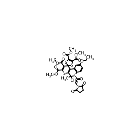 CCOc1ccc2c(c1)C1=C(SC(C(=O)OC)=C(C(=O)OC)C13SC(C(=O)OC)=C(C(=O)OC)S3)C(C)(C)N2C(=O)CN1C(=O)CCC1=O